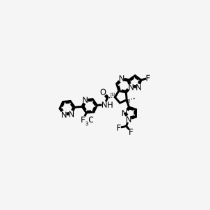 C[C@]1(c2ccn(C(F)F)n2)C[C@H](C(=O)Nc2cnc(-c3cccnn3)c(C(F)(F)F)c2)c2cnc3cc(F)nn3c21